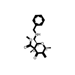 C=C1C(=O)[C@](C)(C(=O)OC)[C@@H](CNCc2ccccc2)O[C@H]1C